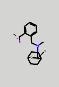 C[C@@H](I)c1ccccc1CN(C)[C@H]1CC2CCC1CC2